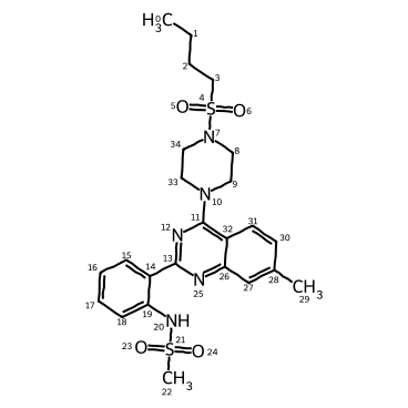 CCCCS(=O)(=O)N1CCN(c2nc(-c3ccccc3NS(C)(=O)=O)nc3cc(C)ccc23)CC1